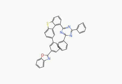 c1ccc(-c2nc(-c3ccccc3)nc(-c3cccc4sc5ccc(-c6cccc(-c7nc8ccccc8o7)c6)cc5c34)n2)cc1